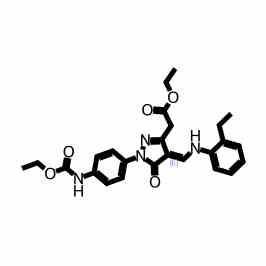 CCOC(=O)CC1=NN(c2ccc(NC(=O)OCC)cc2)C(=O)/C1=C/Nc1ccccc1CC